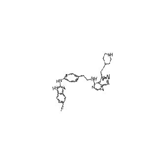 Fc1ccc2[nH]c(Nc3ccc(CCNc4ncnc5cnn(CC6CCNCC6)c45)cc3)nc2c1